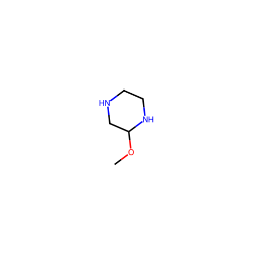 COC1CN[CH]CN1